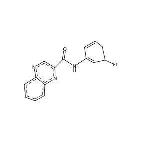 CCC1C=C(NC(=O)c2cnc3ccccc3n2)C=CC1